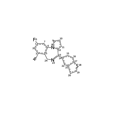 Fc1cc(F)c2c(c1)-n1cccc1C(c1ccc3sccc3c1)=NC2